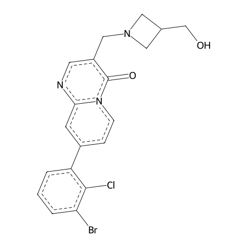 O=c1c(CN2CC(CO)C2)cnc2cc(-c3cccc(Br)c3Cl)ccn12